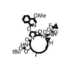 COc1cnc(O[C@@H]2C[C@H]3C(=O)N[C@]4(C(=O)NS(=O)(=O)C5(F)CC5)C[C@H]4/C=C\CC[C@@H](C)C[C@@H](C)[C@H](NC(=O)OC(C)(C)C)C(=O)N3C2)c2ccccc12